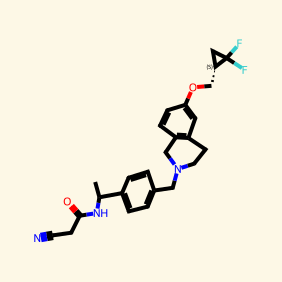 CC(NC(=O)CC#N)c1ccc(CN2CCc3cc(OC[C@@H]4CC4(F)F)ccc3C2)cc1